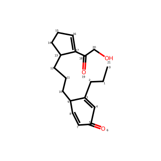 CCCC1=CC(=O)C=CC1CCCC1CCC=C1C(=O)CO